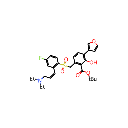 CCN(CC)C/C=C\c1cc(F)ccc1S(=O)(=O)Cc1ccc(-c2ccoc2)c(O)c1C(=O)OC(C)(C)C